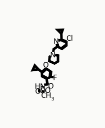 CS(=O)(=O)NC(=O)c1cc(C2CC2)c(O[C@@H]2CCCN(Cc3ccc(Cl)c(C4CC4)n3)C2)cc1F